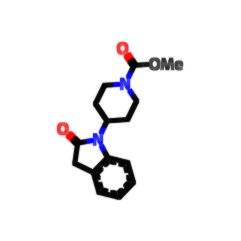 COC(=O)N1CCC(N2C(=O)Cc3ccccc32)CC1